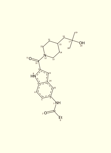 CCC(=O)Nc1ccc2[nH]c(C(=O)N3CCC(CC(C)(C)O)CC3)cc2c1